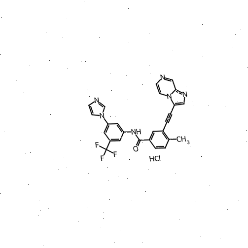 Cc1ccc(C(=O)Nc2cc(-n3ccnc3)cc(C(F)(F)F)c2)cc1C#Cc1cnc2cnccn12.Cl